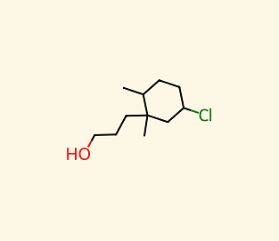 CC1CCC(Cl)CC1(C)CCCO